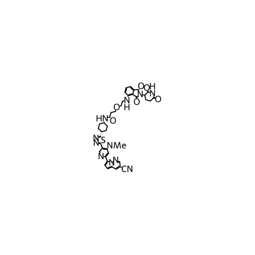 CNc1cc(-c2ccc3cc(C#N)cnn23)ncc1-c1nnc([C@H]2CC[C@@H](NC(=O)CCOCCNc3cccc4c3C(=O)N(C3CCC(=O)NC3=O)C4=O)CC2)s1